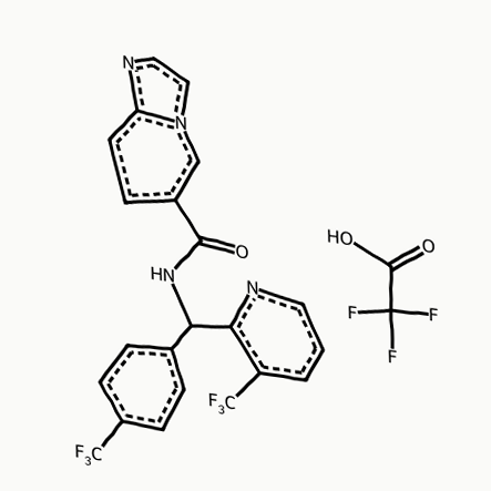 O=C(NC(c1ccc(C(F)(F)F)cc1)c1ncccc1C(F)(F)F)c1ccc2nccn2c1.O=C(O)C(F)(F)F